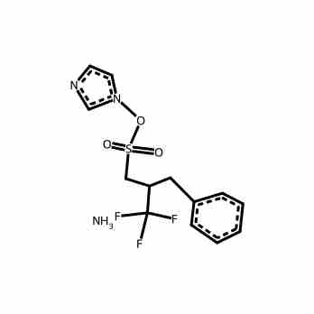 N.O=S(=O)(CC(Cc1ccccc1)C(F)(F)F)On1ccnc1